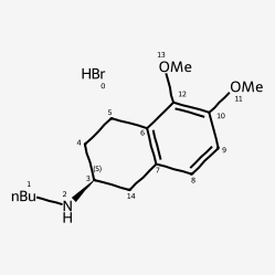 Br.CCCCN[C@H]1CCc2c(ccc(OC)c2OC)C1